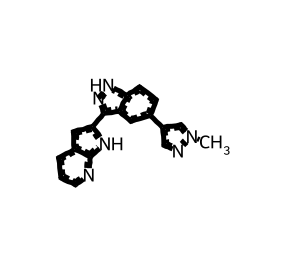 Cn1cc(-c2ccc3[nH]nc(-c4cc5cccnc5[nH]4)c3c2)cn1